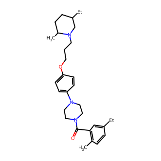 CCc1ccc(C)c(C(=O)N2CCN(c3ccc(OCCCN4CC(CC)CCC4C)cc3)CC2)c1